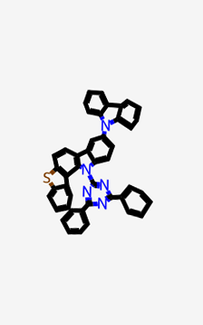 c1ccc(-c2nc(-c3ccccc3)nc(-n3c4ccc(-n5c6ccccc6c6ccccc65)cc4c4ccc5sc6ccccc6c5c43)n2)cc1